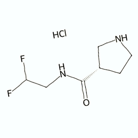 Cl.O=C(NCC(F)F)[C@H]1CCNC1